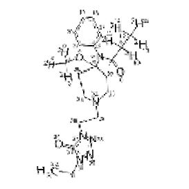 [2H]C([2H])([2H])OC1(N(C(=O)C([2H])([2H])C([2H])([2H])[2H])c2ccccc2)CCN(CCn2nnn(CC)c2=O)CC1